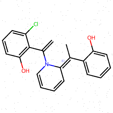 C=C(c1c(O)cccc1Cl)N1C=CC=C/C1=C(/C)c1ccccc1O